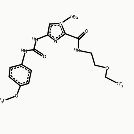 CCCCn1cc(NC(=O)Nc2ccc(OC(F)(F)F)cc2)nc1C(=O)NCCOCC(F)(F)F